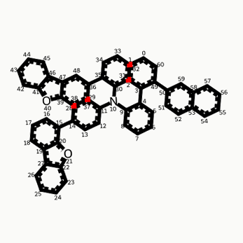 c1ccc(-c2ccccc2N(c2ccc(-c3cccc4c3oc3ccccc34)cc2)c2ccccc2-c2ccc3oc4ccccc4c3c2)c(-c2ccc3ccccc3c2)c1